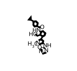 Cn1cc(-c2cccc(NC(=O)c3ccc(C4CC4)cc3)c2CO)cc(Nc2cnccn2)c1=O